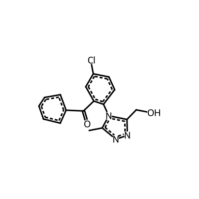 Cc1nnc(CO)n1-c1ccc(Cl)cc1C(=O)c1ccccc1